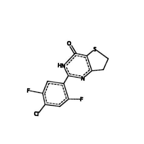 O=c1[nH]c(-c2cc(F)c(Cl)cc2F)nc2c1SCC2